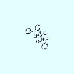 O=C1c2ccccc2C(=O)N1[C@H]1C(=O)N(c2ccccc2[CH]c2ccccc2)[C@@H]1Cl